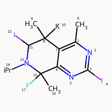 Cc1nc(I)nc2c1[C](C)([K])C(I)N(C(C)C)C2(C)F